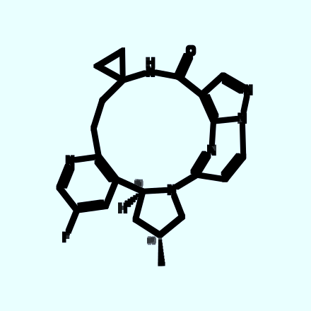 C[C@@H]1C[C@H]2c3cc(F)cnc3CCC3(CC3)NC(=O)c3cnn4ccc(nc34)N2C1